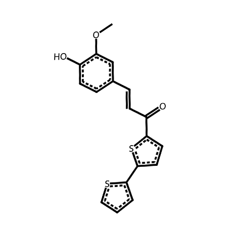 COc1cc(C=CC(=O)c2ccc(-c3cccs3)s2)ccc1O